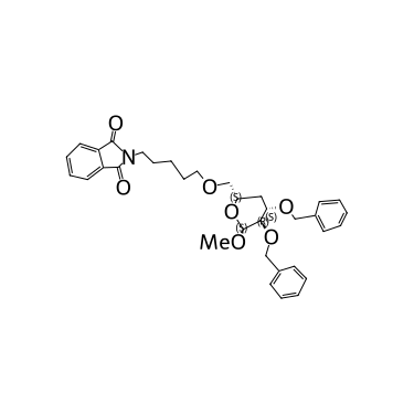 CO[C@H]1O[C@H](COCCCCCN2C(=O)c3ccccc3C2=O)C[C@H](OCc2ccccc2)[C@H]1OCc1ccccc1